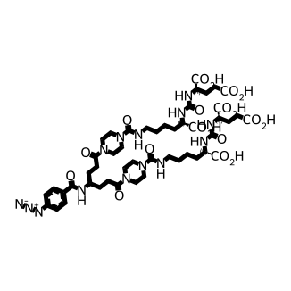 [N-]=[N+]=Nc1ccc(C(=O)NC(CCC(=O)N2CCN(C(=O)NCCCC[C@H](NC(=O)N[C@@H](CCC(=O)O)C(=O)O)C(=O)O)CC2)CCC(=O)N2CCN(C(=O)NCCCC[C@@H](NC(=O)N[C@H](CCC(=O)O)C(=O)O)C(=O)O)CC2)cc1